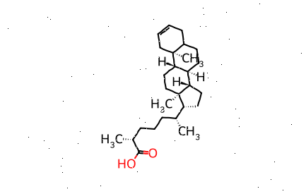 C[C@H](CCC[C@@H](C)[C@H]1CC[C@H]2[C@@H]3CCC4CC=CC[C@]4(C)[C@H]3CC[C@]12C)C(=O)O